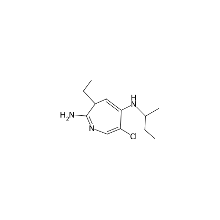 CCC(C)NC1=CC(CC)C(N)=NC=C1Cl